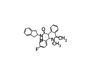 C=C1c2ccccc2C(C(=O)NC2Cc3ccccc3C2)C(c2ccc(F)cc2)N1C